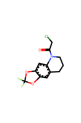 O=C(CCl)N1CCCc2cc3c(cc21)OC(F)(F)O3